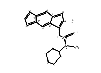 CN(C1CCCCC1)[Si](=O)CC1=CC=c2cc3c(cc21)=CC=C3.[Ti]